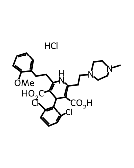 COc1ccccc1CCC1=C(C(=O)O)C(c2c(Cl)cccc2Cl)C(C(=O)O)=C(CCN2CCN(C)CC2)N1.Cl